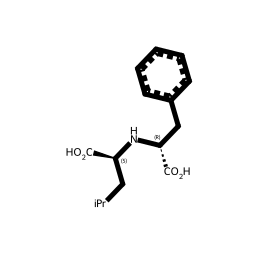 CC(C)C[C@H](N[C@H](Cc1ccccc1)C(=O)O)C(=O)O